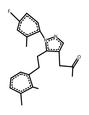 CC(=O)Cc1cnn(-c2ccc(F)cc2C)c1CCc1cccc(C)c1C